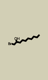 CCCCCCCCC(O)CBr